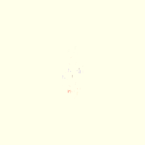 Cc1nc(N[C@H](C)c2cccc(C(F)(F)F)c2C)c2cc(OP(C)(C)(O)O)c(Br)c(F)c2n1